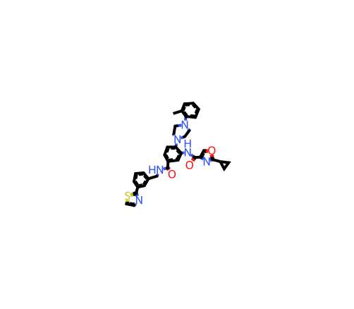 Cc1ccccc1N1CCN(c2ccc(C(=O)NCc3cccc(-c4nccs4)c3)cc2NC(=O)c2coc(C3CC3)n2)CC1